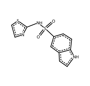 O=S(=O)(Nc1nccs1)c1ccc2[nH]ccc2c1